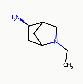 CCN1CC2CC1C[C@H]2N